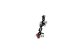 CCCc1cc(C(O)(C(F)(F)F)C(F)(F)F)ccc1N1C[C@@H](C)N(C(=O)CN2C(=O)NC(C)(c3ccc4c(c3)CCO4)C2=O)C[C@@H]1C